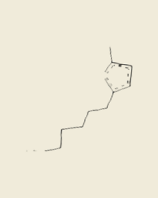 CCCCCCCCCCCCc1ccc([C]=O)s1